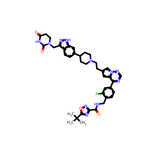 CC(C)(C)c1nc(C(=O)NCc2ccc(-c3ncnn4cc(CCN5CCC(c6ccc7c(CN8CCC(=O)NC8=O)n[nH]c7c6)CC5)cc34)cc2F)no1